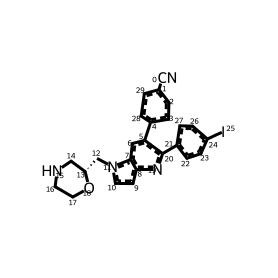 N#Cc1ccc(-c2cc3c(ccn3C[C@H]3CNCCO3)nc2-c2ccc(I)cc2)cc1